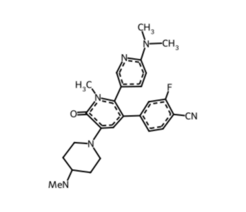 CNC1CCN(c2cc(-c3ccc(C#N)c(F)c3)c(-c3ccc(N(C)C)nc3)n(C)c2=O)CC1